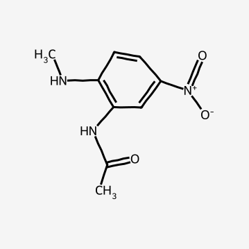 CNc1ccc([N+](=O)[O-])cc1NC(C)=O